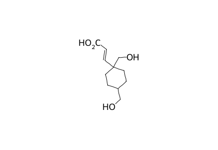 O=C(O)C=CC1(CO)CCC(CO)CC1